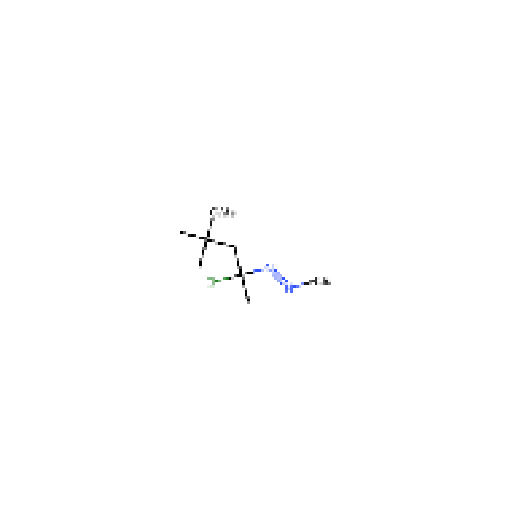 COC(C)(C)CC(C)(Cl)/N=N/C(C)(C)C